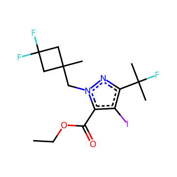 CCOC(=O)c1c(I)c(C(C)(C)F)nn1CC1(C)CC(F)(F)C1